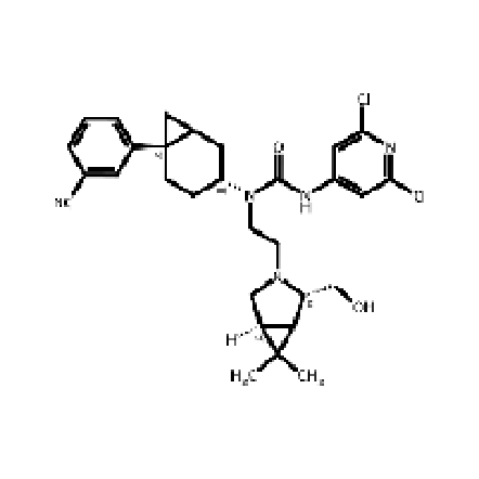 CC1(C)C2[C@@H](CO)N(CCN(C(=O)Nc3cc(Cl)nc(Cl)c3)[C@@H]3CC[C@]4(c5cccc(C#N)c5)CC4C3)C[C@@H]21